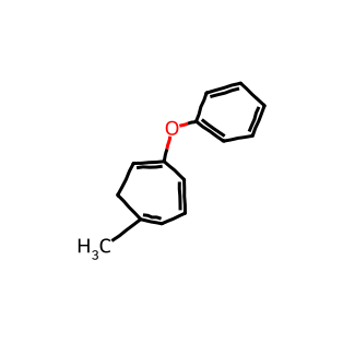 CC1=CC=CC(Oc2ccccc2)=CC1